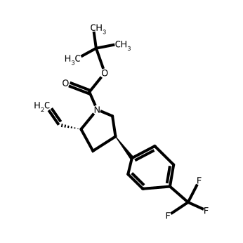 C=C[C@H]1C[C@H](c2ccc(C(F)(F)F)cc2)CN1C(=O)OC(C)(C)C